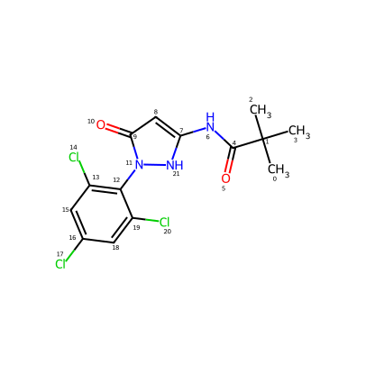 CC(C)(C)C(=O)Nc1cc(=O)n(-c2c(Cl)cc(Cl)cc2Cl)[nH]1